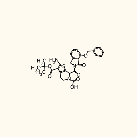 CC(C)(C)OC(=O)c1c(N)sc2c1CCN(C(=O)O)C2C(=O)N1Cc2cccc(OCc3ccccc3)c2C1=O